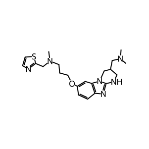 CN(C)CC1CNc2nc3ccc(OCCCN(C)Cc4nccs4)cc3n2C1